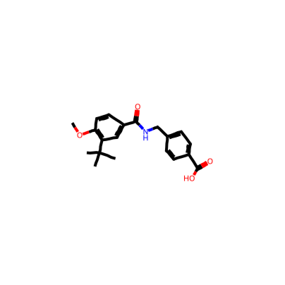 COc1ccc(C(=O)NCc2ccc(C(=O)O)cc2)cc1C(C)(C)C